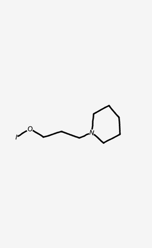 IOCCCN1CCCCC1